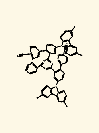 Cc1ccc2c(c1)c1cc(C)ccc1n2-c1ccc(-c2ccc(C#N)cc2)c(-c2nc(-c3ccccc3)nc(-c3cc(-n4c5ccc(C)cc5c5cc(C)ccc54)ccc3-c3ccc(C#N)cc3)n2)c1